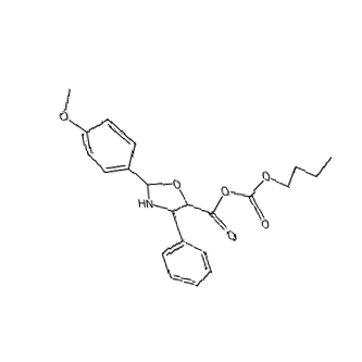 CCCCOC(=O)OC(=O)C1OC(c2ccc(OC)cc2)NC1c1ccccc1